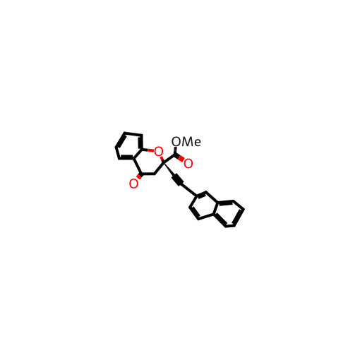 COC(=O)[C@]1(C#Cc2ccc3ccccc3c2)CC(=O)c2ccccc2O1